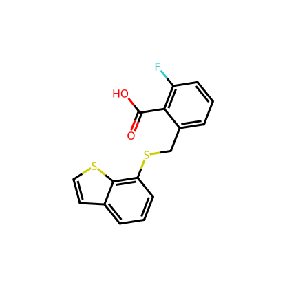 O=C(O)c1c(F)cccc1CSc1cccc2ccsc12